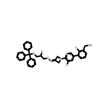 OCc1cccc(-c2cnc(N3CC(=NOCC(F)COC(c4ccccc4)(c4ccccc4)c4ccccc4)C3)c(F)c2)c1F